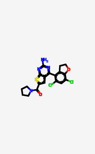 Nc1nc(-c2c(Cl)cc(Cl)c3c2CCO3)c2cc(C(=O)N3CCCC3)sc2n1